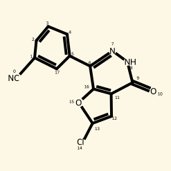 N#Cc1cccc(-c2n[nH]c(=O)c3cc(Cl)oc23)c1